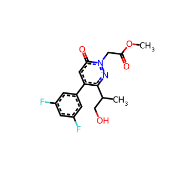 COC(=O)Cn1nc(C(C)CO)c(-c2cc(F)cc(F)c2)cc1=O